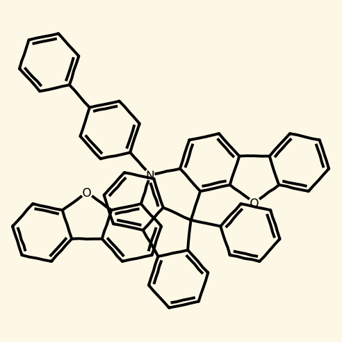 c1ccc(-c2ccc(N(c3ccc4c(oc5ccccc54)c3C3(c4ccccc4)c4ccccc4-c4ccccc43)c3cccc4c3oc3ccccc34)cc2)cc1